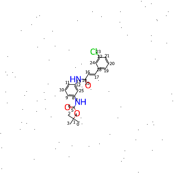 CC(C)(C)OC(=O)Nc1cccc(NC(=O)C=Cc2cccc(Cl)c2)c1